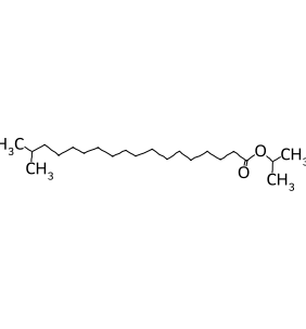 CC(C)CCCCCCCCCCCCCCCC(=O)OC(C)C